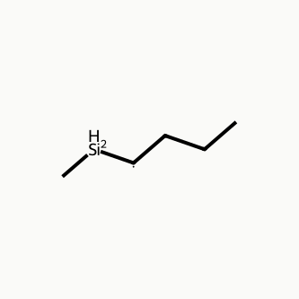 CCC[CH][SiH2]C